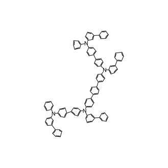 c1ccc(-c2cccc(N(c3ccccc3)c3ccc(-c4ccc(N(c5ccc(-c6ccc(-c7ccc(N(c8ccc(-c9ccc(N(c%10ccccc%10)c%10cccc(-c%11ccccc%11)c%10)cc9)cc8)c8cccc(-c9ccccc9)c8)cc7)cc6)cc5)c5cccc(-c6ccccc6)c5)cc4)cc3)c2)cc1